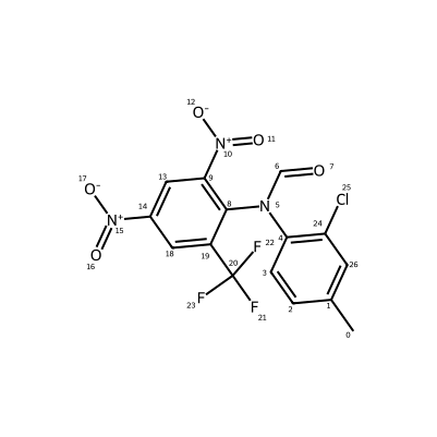 Cc1ccc(N(C=O)c2c([N+](=O)[O-])cc([N+](=O)[O-])cc2C(F)(F)F)c(Cl)c1